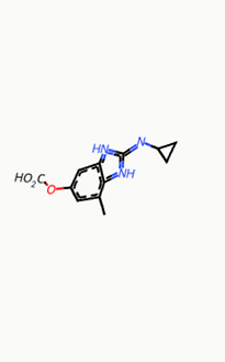 Cc1cc(OC(=O)O)cc2[nH]c(=NC3CC3)[nH]c12